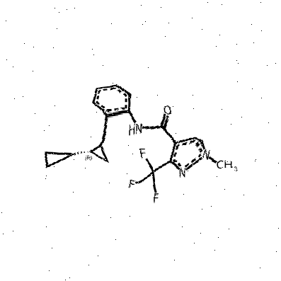 Cn1cc(C(=O)Nc2ccccc2C2C[C@@H]2C2CC2)c(C(F)(F)F)n1